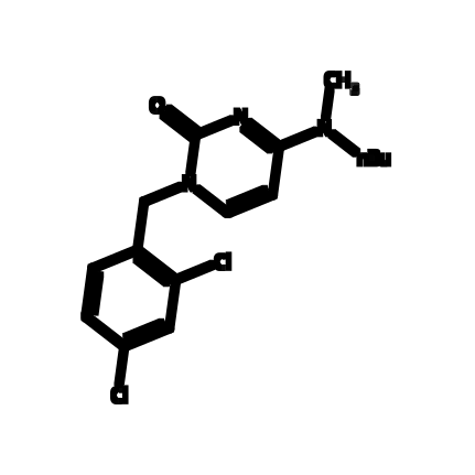 CCCCN(C)c1ccn(Cc2ccc(Cl)cc2Cl)c(=O)n1